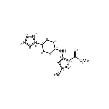 COC(=O)c1sc(C(C)(C)C)cc1NC1CCC(n2cncn2)CC1